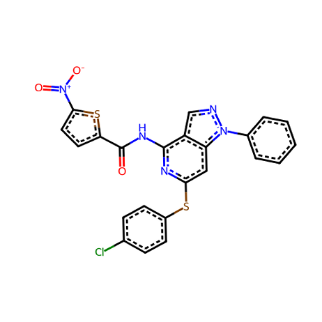 O=C(Nc1nc(Sc2ccc(Cl)cc2)cc2c1cnn2-c1ccccc1)c1ccc([N+](=O)[O-])s1